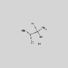 CCCCC(CC)C(P)(CC)CC.I